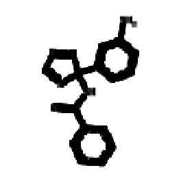 Nc1cccc(C2(NC(=O)c3ccccc3)N=CN=N2)c1